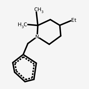 CCC1CCN(Cc2ccccc2)C(C)(C)C1